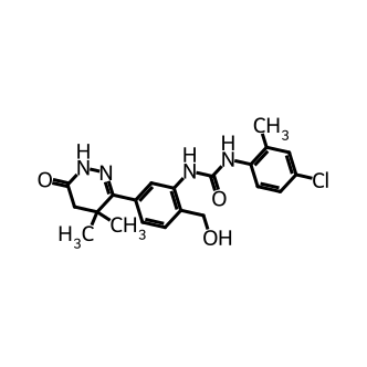 Cc1cc(Cl)ccc1NC(=O)Nc1cc(C2=NNC(=O)CC2(C)C)ccc1CO